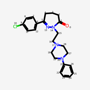 O=C1CCCC(c2ccc(Cl)cc2)=NN1CCN1CCN(c2ccccc2)CC1